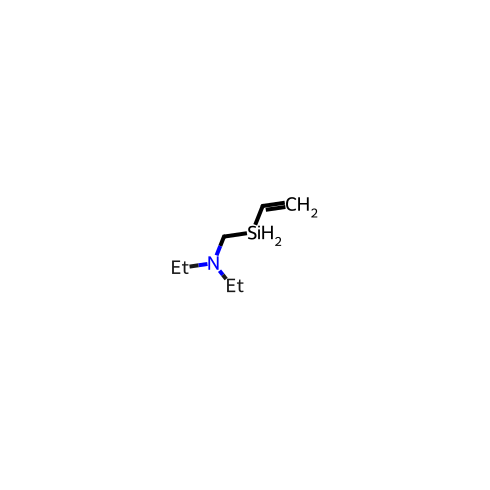 C=C[SiH2]CN(CC)CC